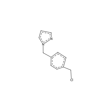 ClCc1ccc(Cn2cccn2)cc1